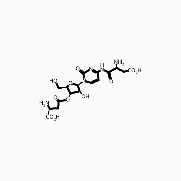 N[C@@H](CC(=O)O[C@H]1[C@H](O)[C@H](n2ccc(NC(=O)[C@@H](N)CC(=O)O)nc2=O)O[C@@H]1CO)C(=O)O